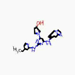 CCc1ccnc(Nc2nc(Nc3ccn4ccnc4c3)cc(N3CC[C@@H](O)C3)n2)c1